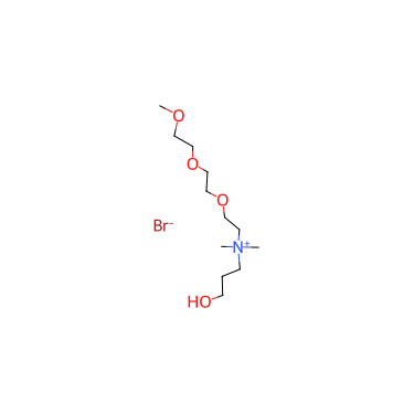 COCCOCCOCC[N+](C)(C)CCCO.[Br-]